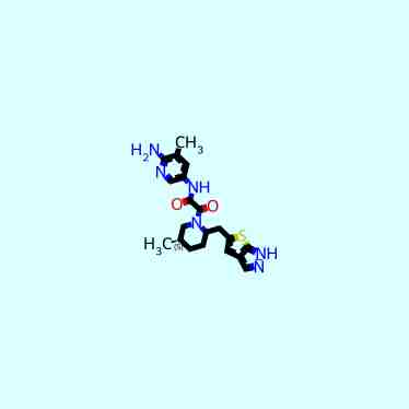 Cc1cc(NC(=O)C(=O)N2C[C@@H](C)CCC2Cc2cc3cn[nH]c3s2)cnc1N